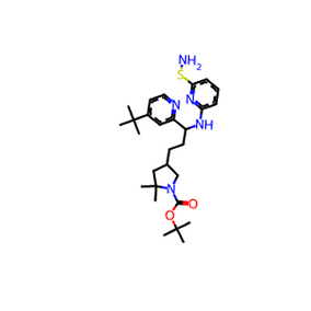 CC(C)(C)OC(=O)N1CC(CCC(Nc2cccc(SN)n2)c2cc(C(C)(C)C)ccn2)CC1(C)C